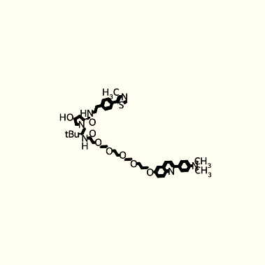 Cc1ncsc1-c1ccc(CCNC(=O)[C@@H]2C[C@H](O)CN2C[C@@H](NC(=O)COCCOCCOCCOCCCOc2ccc3nc(-c4ccc(N(C)C)cc4)ccc3c2)C(C)(C)C)cc1